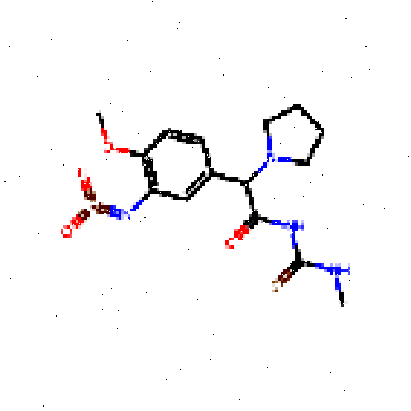 CNC(=S)NC(=O)C(c1ccc(OC)c(N=S(=O)=O)c1)N1CCCC1